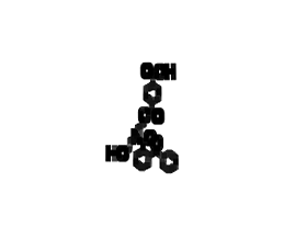 O=C(O)c1ccc(C(=O)OCCN(CCO)C(=O)c2ccccc2C(=O)c2ccccc2)cc1